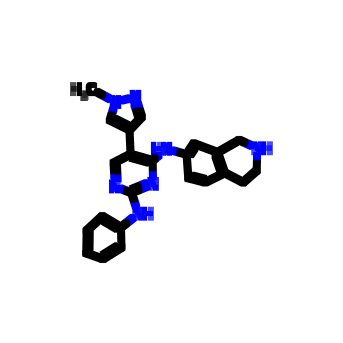 Cn1cc(-c2cnc(Nc3ccccc3)nc2Nc2ccc3c(c2)CNCC3)cn1